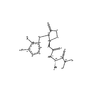 CC(C)[C@H](NC(=O)C[C@@H]1CCC(=O)N1Cc1cccc(F)c1F)C(=O)N(C)C